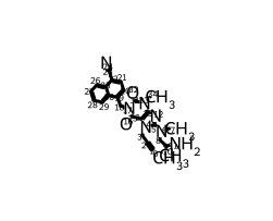 CC#CCn1c(N(C)CC(C)N)nc2c1c(=O)n(Cc1ccc(C#N)c3ccccc13)c(=O)n2C